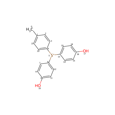 Cc1ccc([S+](c2ccc(O)cc2)c2ccc(O)cc2)cc1